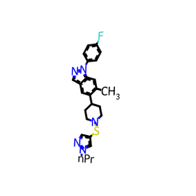 CCCn1cc(SN2CCC(c3cc4cnn(-c5ccc(F)cc5)c4cc3C)CC2)cn1